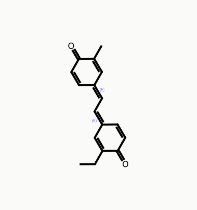 CCC1=C/C(=C/C=C2\C=CC(=O)C(C)=C2)C=CC1=O